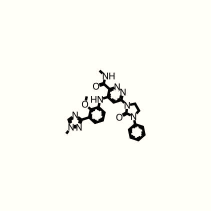 CNC(=O)c1nnc(N2CCN(c3ccccc3)C2=O)cc1Nc1cccc(-c2ncn(C)n2)c1OC